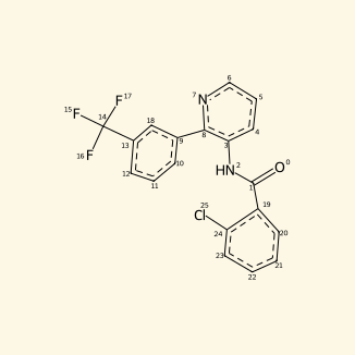 O=C(Nc1cccnc1-c1cccc(C(F)(F)F)c1)c1ccccc1Cl